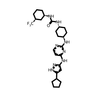 O=C(N[C@@H]1CCC[C@H](C(F)(F)F)C1)N[C@H]1CC[C@H](Nc2nccc(Nc3cc(C4CCCC4)[nH]n3)n2)CC1